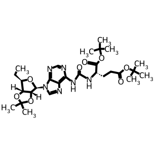 CC[C@H]1O[C@@H](n2cnc3c(NC(=O)N[C@@H](CCC(=O)OC(C)(C)C)C(=O)OC(C)(C)C)ncnc32)[C@@H]2OC(C)(C)O[C@@H]21